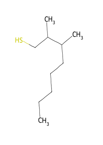 CCCCCC(C)C(C)CS